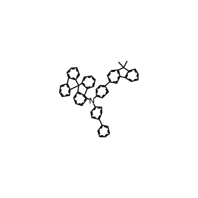 CC1(C)c2ccccc2-c2cc(-c3ccc(N(c4ccc(-c5ccccc5)cc4)c4cccc5c4-c4ccccc4C54c5ccccc5-c5ccccc54)cc3)ccc21